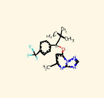 Cc1cc(O[C@@H](c2ccc(C(F)(F)F)cc2)C(C)(C)C)n2ncnc2n1